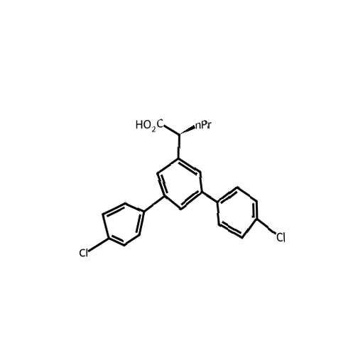 CCC[C@H](C(=O)O)c1cc(-c2ccc(Cl)cc2)cc(-c2ccc(Cl)cc2)c1